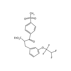 CCOC(=O)C(Cc1cccc(OC(F)(F)C(F)F)c1)C(=O)c1ccc(S(C)(=O)=O)cc1